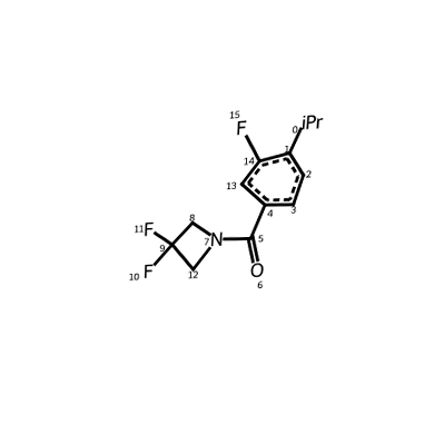 CC(C)c1ccc(C(=O)N2CC(F)(F)C2)cc1F